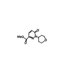 COC(=O)c1ccc(=O)n(C2CCOCC2)n1